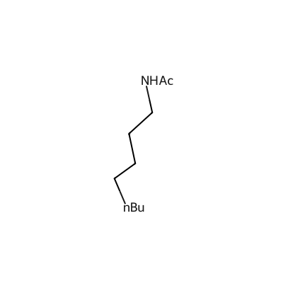 CCCCCCCCNC(C)=O